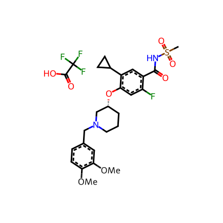 COc1ccc(CN2CCC[C@@H](Oc3cc(F)c(C(=O)NS(C)(=O)=O)cc3C3CC3)C2)cc1OC.O=C(O)C(F)(F)F